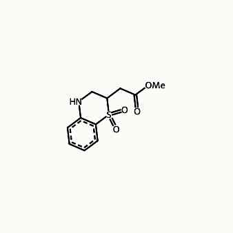 COC(=O)CC1CNc2ccccc2S1(=O)=O